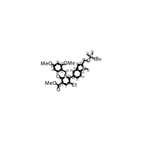 CCc1cc(C(=O)OC)c(=O)n(Cc2ccc(OC)cc2OC)c1-c1ccc2c(c1)cc(CO[Si](C)(C)C(C)(C)C)n2C